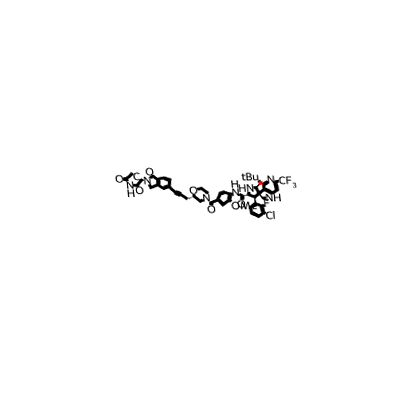 COc1cc(C(=O)N2CCO[C@@H](CC#Cc3ccc4c(c3)CN([C@H]3CCC(=O)NC3=O)C4=O)C2)ccc1NC(=O)[C@@H]1N[C@@H](CC(C)(C)C)[C@@]2(CNc3cc(C(F)(F)F)ncc32)[C@H]1c1cccc(Cl)c1F